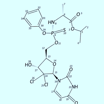 CC(C)OC(=O)[C@@H](C)N[P@](=S)(OC[C@H]1O[C@@H](n2ccc(=O)[nH]c2=O)C(Cl)(Cl)[C@@H]1O)Oc1ccccc1